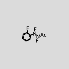 CC(=O)N(F)N(F)c1ccccc1F